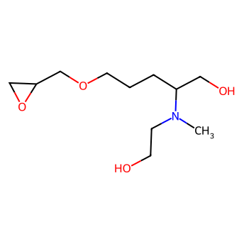 CN(CCO)C(CO)CCCOCC1CO1